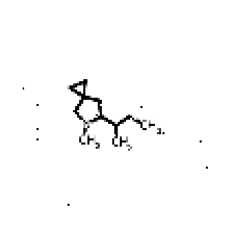 CCC(C)C1CC2(CC2)CN1C